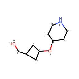 OCC1CC(OC2CCNCC2)C1